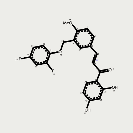 COc1ccc(/C=C/C(=O)c2ccc(O)cc2O)cc1COc1ccc(F)cc1F